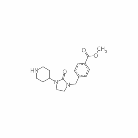 COC(=O)c1ccc(CN2CCN(C3CCNCC3)C2=O)cc1